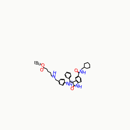 CC(C)(C)OC(=O)CCCCNCc1ccc(N/C(=C2\C(=O)Nc3ccc(C(=O)NCC4CCCCC4)cc32)c2ccccc2)cc1